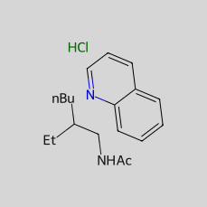 CCCCC(CC)CNC(C)=O.Cl.c1ccc2ncccc2c1